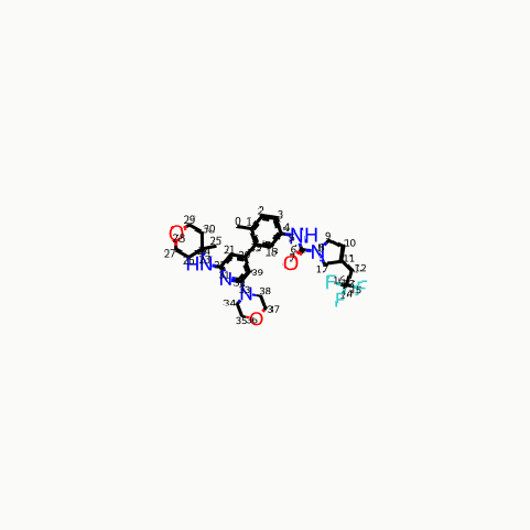 Cc1ccc(NC(=O)N2CCC(CC(F)(F)F)C2)cc1-c1cc(NC2(C)CCOCC2)nc(N2CCOCC2)c1